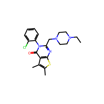 CCN1CCN(Cc2nc3sc(C)c(C)c3c(=O)n2-c2ccccc2Cl)CC1